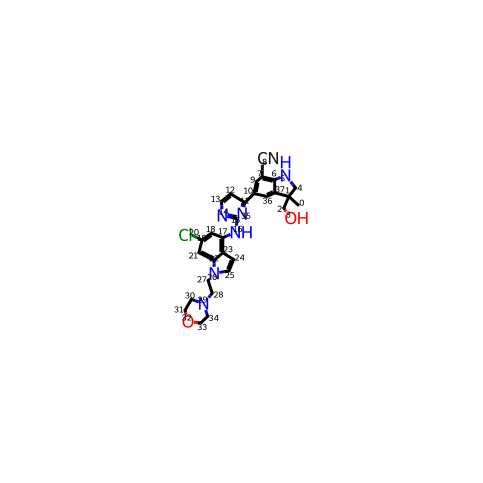 CC1(CO)CNc2c(C#N)cc(-c3ccnc(Nc4cc(Cl)cc5c4ccn5CCN4CCOCC4)n3)cc21